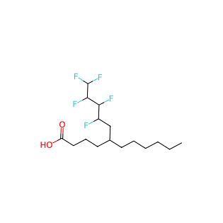 CCCCCCC(CCCC(=O)O)CC(F)C(F)C(F)C(F)F